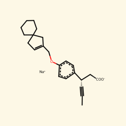 CC#C[C@@H](CC(=O)[O-])c1ccc(OCC2=CCC3(CCCCC3)C2)cc1.[Na+]